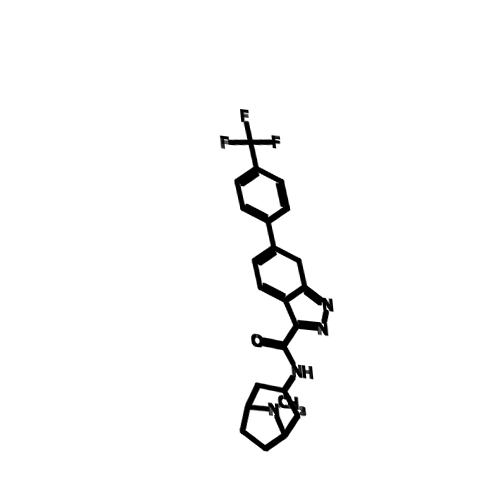 CN1C2CCC1CC(NC(=O)C1=NN=C3CC(c4ccc(C(F)(F)F)cc4)=CC=C31)C2